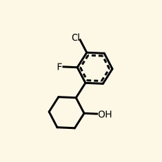 OC1CCCCC1c1cccc(Cl)c1F